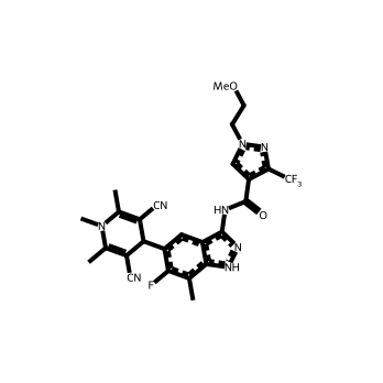 COCCn1cc(C(=O)Nc2n[nH]c3c(C)c(F)c(C4C(C#N)=C(C)N(C)C(C)=C4C#N)cc23)c(C(F)(F)F)n1